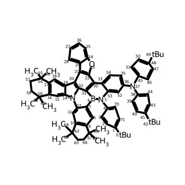 CC(C)(C)c1ccc(N2B3c4cc5c(cc4-n4c6cc7c(cc6c6c8c(oc9ccccc98)c(c3c64)-c3ccc(N(c4ccc(C(C)(C)C)cc4)c4ccc(C(C)(C)C)cc4)cc32)C(C)(C)CCC7(C)C)C(C)(C)CCC5(C)C)cc1